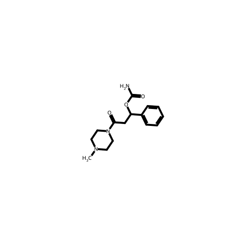 CN1CCN(C(=O)CC(OC(N)=O)c2ccccc2)CC1